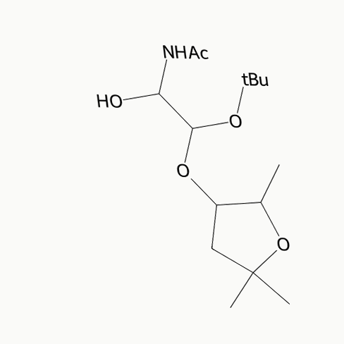 CC(=O)NC(O)C(OC1CC(C)(C)OC1C)OC(C)(C)C